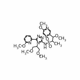 COCC(COC)n1c(NS(=O)(=O)C(C)C(OC)c2cnc(OC)cn2)nnc1-c1cccc(OC)n1